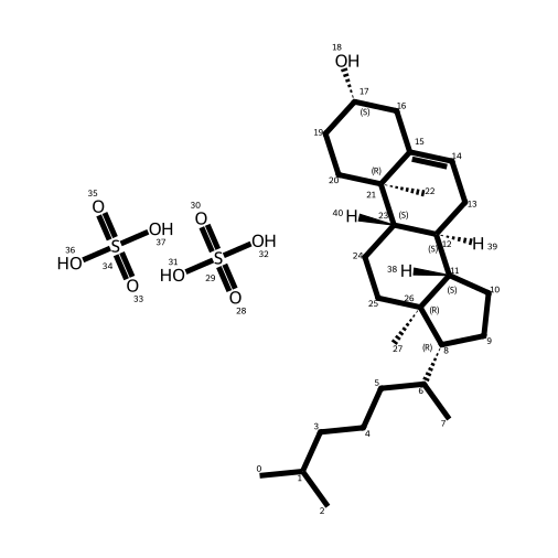 CC(C)CCCC(C)[C@H]1CC[C@H]2[C@@H]3CC=C4C[C@@H](O)CC[C@]4(C)[C@H]3CC[C@]12C.O=S(=O)(O)O.O=S(=O)(O)O